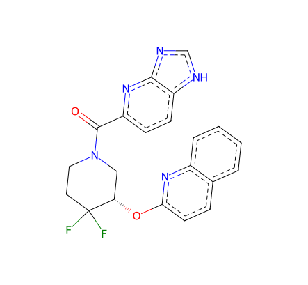 O=C(c1ccc2[nH]cnc2n1)N1CCC(F)(F)[C@@H](Oc2ccc3ccccc3n2)C1